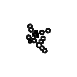 c1ccc(-c2ccc(-c3nc(-c4ccc5ccccc5c4)nc(-c4cc(C5CCc6cc7ccccc7cc6-c6cc7ccccc7cc65)cc5oc6ccccc6c45)n3)cc2)cc1